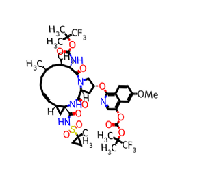 COc1ccc2c(O[C@@H]3C[C@H]4C(=O)N[C@]5(C(=O)NS(=O)(=O)C6(C)CC6)C[C@H]5/C=C\CC[C@@H](C)C[C@@H](C)[C@H](NC(=O)OC(C)(C)C(F)(F)F)C(=O)N4C3)ncc(OC(=O)OC(C)(C)C(F)(F)F)c2c1